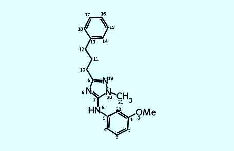 COc1cccc(Nc2nc(CCCc3ccccc3)nn2C)c1